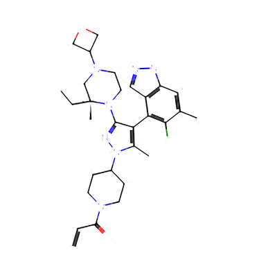 C=CC(=O)N1CCC(n2nc(N3CCN(C4COC4)C[C@@]3(C)CC)c(-c3c(Cl)c(C)cc4[nH]ncc34)c2C)CC1